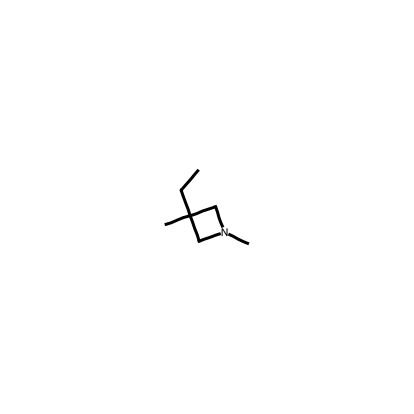 CCC1(C)CN(C)C1